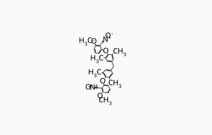 COc1cccc(Oc2c(C)cc(Cc3cc(C)c(Oc4cccc(OC)c4C#[N+][O-])c(C)c3)cc2C)c1C#[N+][O-]